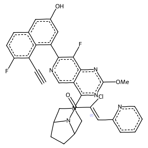 C#Cc1c(F)ccc2cc(O)cc(-c3ncc4c(N5CC6CCC(C5)N6C(=O)/C(Cl)=C/c5ccccn5)nc(OC)nc4c3F)c12